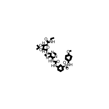 CCNC(=O)[C@H]1O[C@@H](n2cnc3c(NC(=O)Nc4cccc(S(=O)(=O)Nc5ccc(OC)cc5)c4)ncnc32)[C@@H]2OC(C)(C)O[C@@H]21